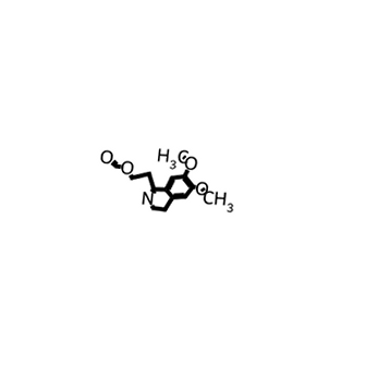 COc1cc2c(cc1OC)C(CCOC=O)=NCC2